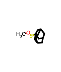 COSC12CC3CC(CC(C3)C1)C2